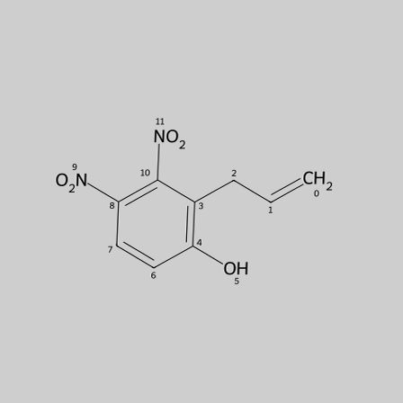 C=CCc1c(O)ccc([N+](=O)[O-])c1[N+](=O)[O-]